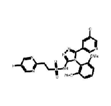 COc1cccc(OC)c1-n1c(NS(=O)(=O)CCc2ncc(F)cn2)nnc1-c1cncc(Cl)c1